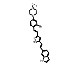 CN1CCN(c2ccc(/C=C/c3cc(/C=C/c4ccc5cc[nH]c5c4)[nH]n3)c(Br)c2)CC1